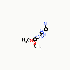 CCOc1ccc(CNc2ncnc3c2cnn3-c2cccc(C#N)c2)cc1OCC